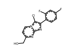 OCc1ccn2c(Cl)c(-c3ccc(F)cc3F)nc2n1